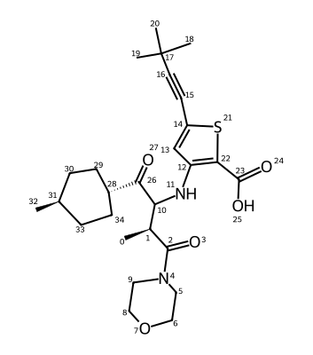 C[C@H](C(=O)N1CCOCC1)C(Nc1cc(C#CC(C)(C)C)sc1C(=O)O)C(=O)[C@H]1CC[C@H](C)CC1